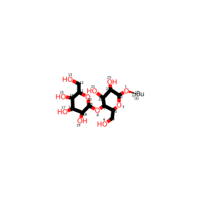 CC[C@H](C)OC1OC(CO)C(OC2OC(CO)C(O)C(O)C2O)C(O)C1O